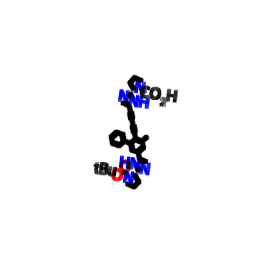 Cc1cc(-c2cnc([C@@H]3CCCN3C(=O)OC(C)(C)C)[nH]2)cc(-c2ccccc2)c1C#CC#Cc1cnc([C@@H]2CCCN2C(=O)O)[nH]1